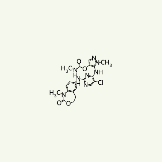 CNC(=O)Oc1cnn(C)c1Nc1nc(Nc2ccc3c(c2)CCOC(=O)N3C)ncc1Cl